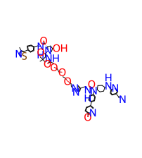 Cc1ncsc1-c1ccc(CNC(=O)[C@@H]2C[C@@H](O)CN2C(=O)[C@@H](NC(=O)COCCOCCOCCn2cc(CNC(=O)N(c3ccc(-c4ccc(=O)n(C)c4)cc3)[C@H]3CC[C@H](Nc4ccc(C#N)cn4)CC3)cn2)C(C)(C)C)cc1